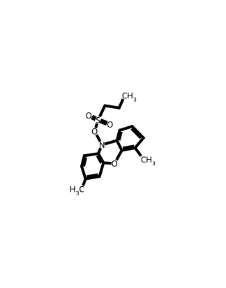 CCCS(=O)(=O)ON1c2ccc(C)cc2Oc2c(C)cccc21